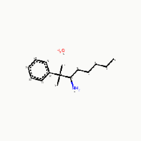 CCCCCC(N)C(C)(C)c1ccccc1.O